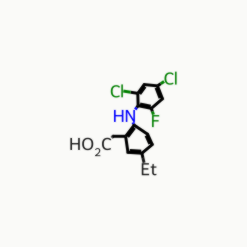 CCc1ccc(Nc2c(F)cc(Cl)cc2Cl)c(CC(=O)O)c1